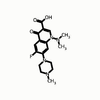 CN1CCN(c2cc3c(cc2F)c(=O)c(C(=O)O)cn3N(C)C)CC1